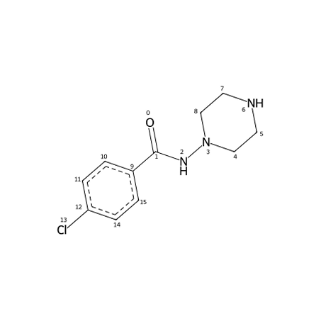 O=C(NN1CCNCC1)c1ccc(Cl)cc1